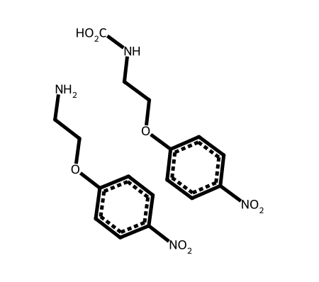 NCCOc1ccc([N+](=O)[O-])cc1.O=C(O)NCCOc1ccc([N+](=O)[O-])cc1